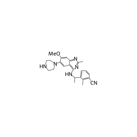 COc1cc2nc(C)nc(NC(C)c3cccc(C#N)c3C)c2cc1N1CCNCC1